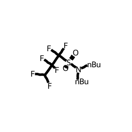 CCCCN(CCCC)S(=O)(=O)C(F)(F)C(F)(F)C(F)F